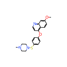 COc1ccc2c(Oc3ccc(SN4CCN(C)CC4)cc3)ccnc2c1